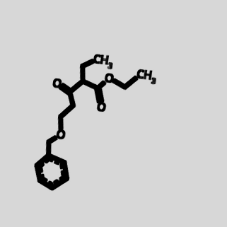 CCOC(=O)C(CC)C(=O)CCOCc1ccccc1